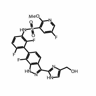 COc1ncc(F)cc1S(=O)(=O)Nc1ccc(F)c(-c2ccc3c(-c4nc(CO)c[nH]4)n[nH]c3c2F)c1F